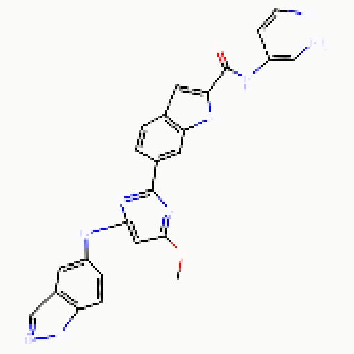 COc1cc(Nc2ccc3[nH]ncc3c2)nc(-c2ccc3cc(C(=O)NC(/C=C\N)=C/N)[nH]c3c2)n1